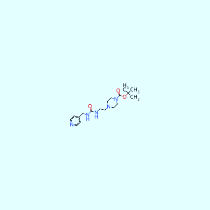 CC(C)(C)OC(=O)N1CCN(CCNC(=O)NCc2ccncc2)CC1